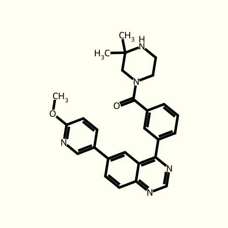 COc1ccc(-c2ccc3ncnc(-c4cccc(C(=O)N5CCNC(C)(C)C5)c4)c3c2)cn1